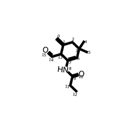 C=C1CC(C)(C)C=C(NC(=O)CC)C1C=O